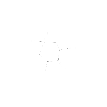 CC1C[N+](C)(C)CC(C)C1=O.[I-]